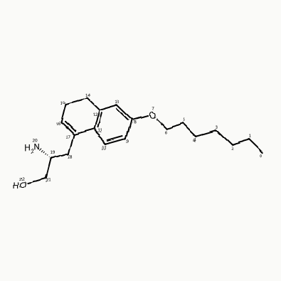 CCCCCCCOc1ccc2c(c1)CCC=C2C[C@@H](N)CO